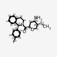 CS[C@H]1CO[C@@H](C(=O)N2CCc3ccccc3[C@@H]2c2ccc(F)cc2)C[C@@H]1N